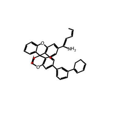 C/C=C\C=C(/N)c1ccc2c(c1)Oc1ccccc1C21c2ccccc2Oc2cc(-c3cccc(C4=CC=CCC4)c3)ccc21